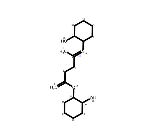 C=C(CC/C(C)=N/C1CCCCC1O)OC1CCCCC1O